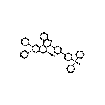 N#Cc1cc2nc(-c3ccccc3)c(-c3ccccc3)nc2c2c1c(-c1ccc(-c3ccc(P(=O)(c4ccccc4)c4ccccc4)cc3)cc1)nc1ccccc12